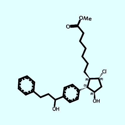 COC(=O)CCCCCC[C@@H]1[C@@H](c2ccc(C(O)CCc3ccccc3)cc2)[C@H](O)C[C@H]1Cl